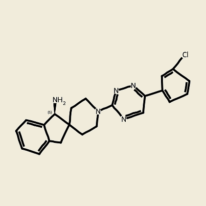 N[C@@H]1c2ccccc2CC12CCN(c1ncc(-c3cccc(Cl)c3)nn1)CC2